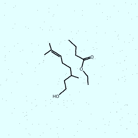 CC(C)=CCCC(C)CCO.CCCC(=O)OCC